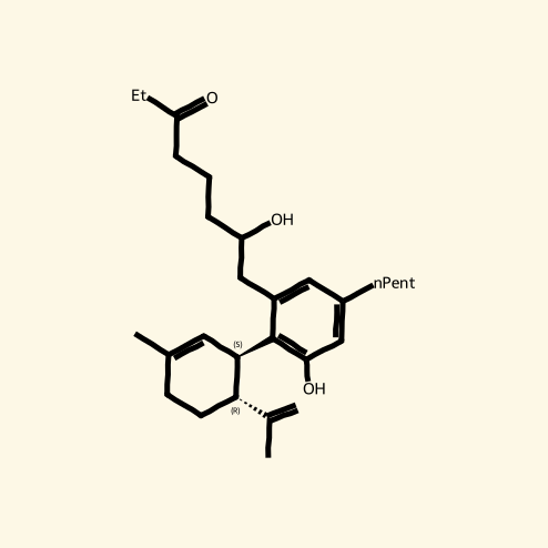 C=C(C)[C@@H]1CCC(C)=C[C@H]1c1c(O)cc(CCCCC)cc1CC(O)CCCC(=O)CC